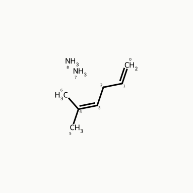 C=CCC=C(C)C.N.N